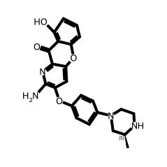 C[C@H]1CN(c2ccc(Oc3cc4oc5cccc(O)c5c(=O)c4nc3N)cc2)CCN1